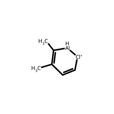 CC1=[C](C)[AlH][Cl+]C=C1